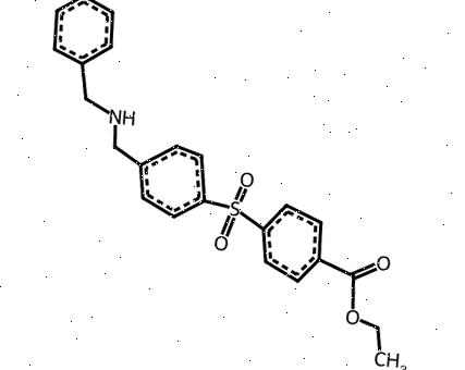 CCOC(=O)c1ccc(S(=O)(=O)c2ccc(CNCc3ccccc3)cc2)cc1